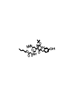 CCCCOC(=O)CN(C)NC(=O)C[C@H](CCN=[N+]=[N-])NC(=O)[C@H](Cc1ccc(O)cc1)NC(=O)OC(C)(C)C